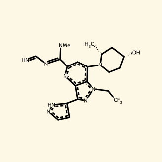 CN/C(=N\C=N)c1cc(N2CC[C@@H](O)C[C@H]2C)c2c(n1)c(-c1ccn[nH]1)nn2CC(F)(F)F